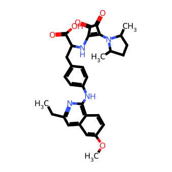 CCc1cc2cc(OC)ccc2c(Nc2ccc(CC(Nc3c(N4C(C)CCC4C)c(=O)c3=O)C(=O)O)cc2)n1